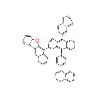 C1=CC2Oc3c(cc4ccccc4c3-c3ccc4c(-c5ccc6ccccc6c5)c5ccccc5c(-c5ccc(-c6cccc7ccccc67)cc5)c4c3)C2C=C1